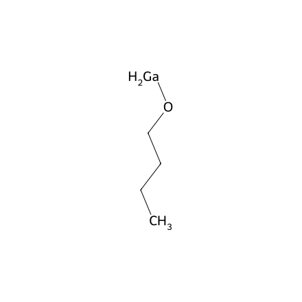 CCCC[O][GaH2]